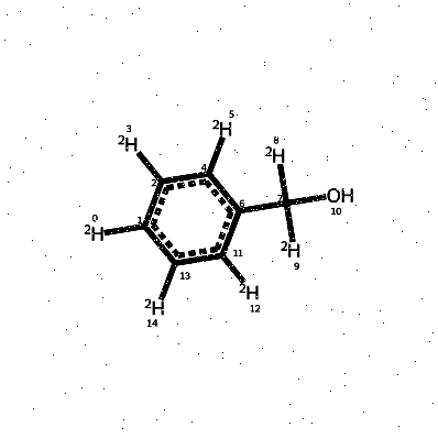 [2H]c1c([2H])c([2H])c(C([2H])([2H])O)c([2H])c1[2H]